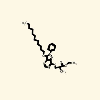 CCCCCCCCCCCCOc1c2ncnc(SCC(C)C(=O)OCC)c2nn1-c1ccccc1